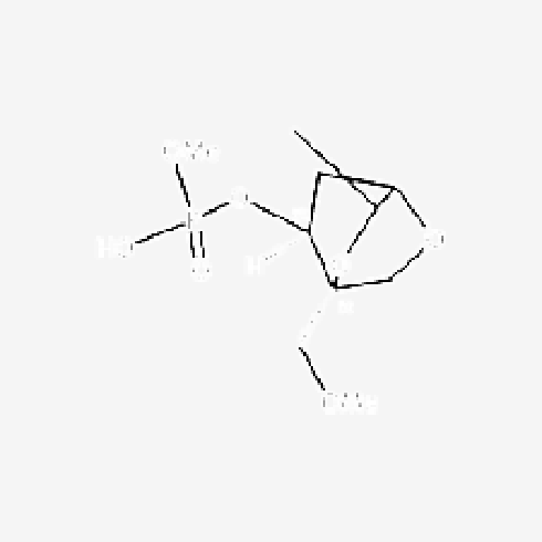 COC[C@]12COC(C[C@@H]1OP(=O)(O)OC)C(C)O2